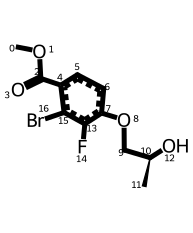 COC(=O)c1ccc(OC[C@H](C)O)c(F)c1Br